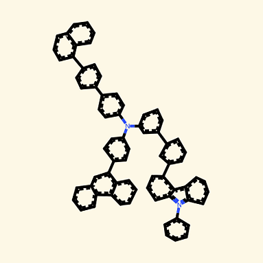 c1ccc(-n2c3ccccc3c3c(-c4cccc(-c5cccc(N(c6ccc(-c7ccc(-c8cccc9ccccc89)cc7)cc6)c6ccc(-c7cc8ccccc8c8ccccc78)cc6)c5)c4)cccc32)cc1